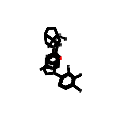 Cc1cc(N2CC3CC[C@@H](C2)[C@@H]3Nc2nc3n(n2)CCN3c2ccc(F)c(F)c2F)ncn1